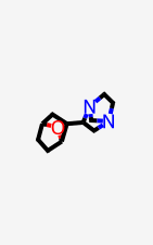 C1CC2OC1CC2C1CN2CCN1C2